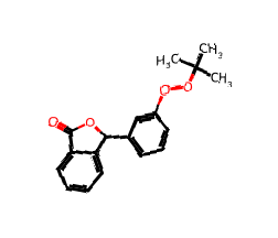 CC(C)(C)OOc1cccc(C2OC(=O)c3ccccc32)c1